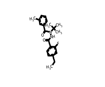 CCc1ccc(C(=O)NN(C(=O)c2cccc(C)c2)C(C)(C)C)c(F)c1